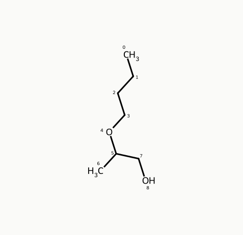 CCCCOC(C)CO